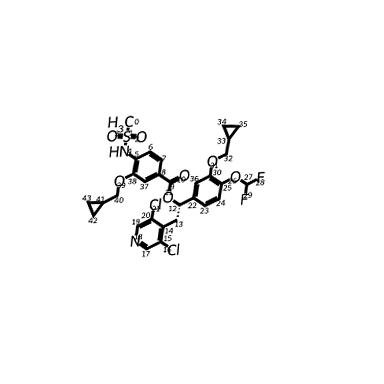 CS(=O)(=O)Nc1ccc(C(=O)O[C@@H](Cc2c(Cl)cncc2Cl)c2ccc(OC(F)F)c(OCC3CC3)c2)cc1OCC1CC1